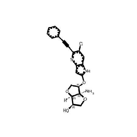 N[C@]12OC[C@@H](O)[C@H]1OC[C@H]2Oc1cc2nc(C#Cc3ccccc3)c(Cl)cc2[nH]1